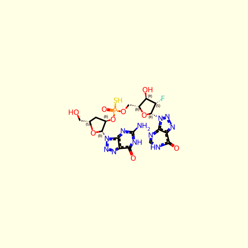 Nc1nc2c(nnn2[C@@H]2O[C@H](CO)C[C@H]2OP(=O)(S)OC[C@H]2O[C@@H](n3nnc4c(=O)[nH]cnc43)[C@@H](F)[C@@H]2O)c(=O)[nH]1